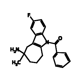 CC1(N)CCCc2c(c3cc(F)ccc3n2C(=O)c2ccccc2)C1